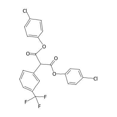 O=C(Oc1ccc(Cl)cc1)C(C(=O)Oc1ccc(Cl)cc1)c1cccc(C(F)(F)F)c1